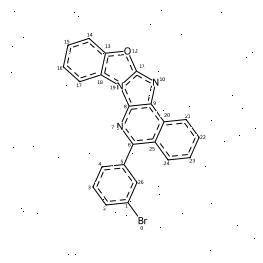 Brc1cccc(-c2nc3c(nc4oc5ccccc5n43)c3ccccc23)c1